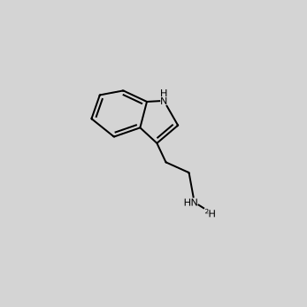 [2H]NCCc1c[nH]c2ccccc12